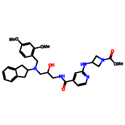 COC(=O)N1CC(Nc2cc(C(=O)NCC(O)CN(Cc3ccc(OC)cc3OC)C3Cc4ccccc4C3)ccn2)C1